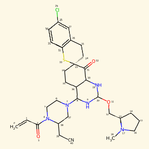 C=CC(=O)N1CCN(C2NC(OCC3CCCN3C)NC3C(=O)[C@@]4(CCc5cc(Cl)ccc5S4)CCC32)CC1CC#N